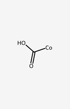 O=[C](O)[Co]